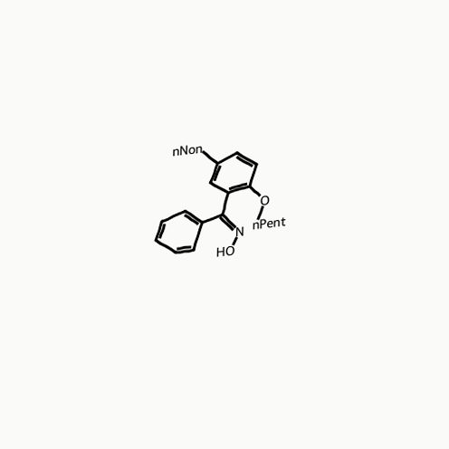 CCCCCCCCCc1ccc(OCCCCC)c(C(=NO)c2ccccc2)c1